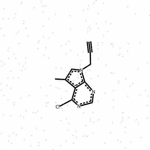 C#CCn1cc(C)c2c(Cl)ncnc21